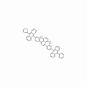 C1=CCCC(c2c3ccccc3c(-c3ccc4c(c3)Oc3ccc5c6c(ccc-4c36)-c3ccc(-c4c6ccccc6c(-c6ccccc6)c6ccccc46)cc3O5)c3ccccc23)=C1